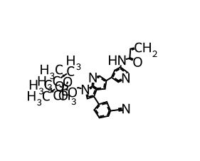 C=CC(=O)Nc1cncc(-c2cnc3c(c2)c(-c2cccc(C#N)c2)cn3COP(=O)(OC(C)(C)C)OC(C)(C)C)c1